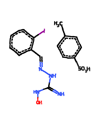 Cc1ccc(S(=O)(=O)O)cc1.N=C(NO)N/N=C/c1ccccc1I